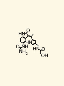 CC(=C1C(=O)Nc2ccc(NC(N)=O)cc21)c1cc(CNC(=O)CO)c[nH]1